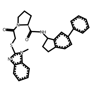 Cn1c(SCC(=O)N2CCC[C@H]2C(=O)NC2CCc3ccc(-c4ccccc4)cc32)nc2ccccc21